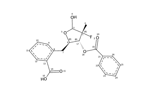 C[C@]1(F)C(O)O[C@H](Cc2ccccc2C(=O)O)[C@H]1OC(=O)c1ccccc1